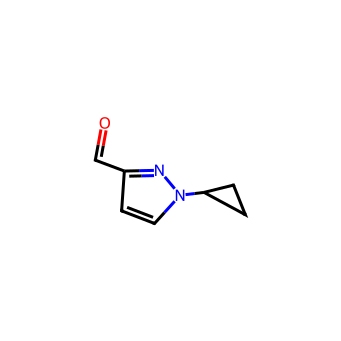 O=Cc1ccn(C2CC2)n1